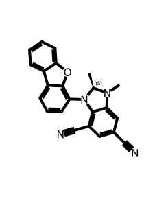 C[C@H]1N(C)c2cc(C#N)cc(C#N)c2N1c1cccc2c1oc1ccccc12